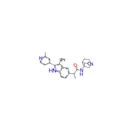 Cc1cc(-c2[nH]c3ccc(C(C)C(=O)NC4CN5CCC4CC5)cc3c2C(C)C)ccn1